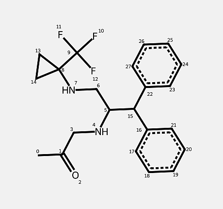 CC(=O)CNC(CNC1(C(F)(F)F)CC1)C(c1ccccc1)c1ccccc1